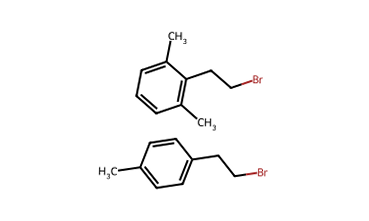 Cc1ccc(CCBr)cc1.Cc1cccc(C)c1CCBr